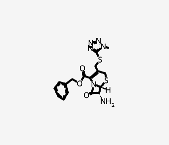 Cn1nnnc1SCC1=C(C(=O)OCc2ccccc2)N2C(=O)[C@@H](N)[C@H]2SC1